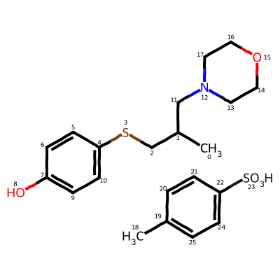 CC(CSc1ccc(O)cc1)CN1CCOCC1.Cc1ccc(S(=O)(=O)O)cc1